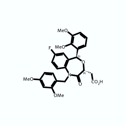 COc1ccc(CN2C(=O)[C@@H](CC(=O)O)O[C@H](c3cccc(OC)c3OC)c3cc(F)ccc32)c(OC)c1